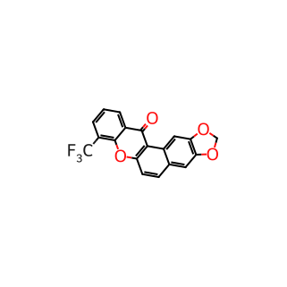 O=c1c2cccc(C(F)(F)F)c2oc2ccc3cc4c(cc3c12)OCO4